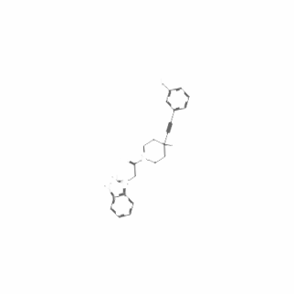 O=C(Cn1nnc2ccccc21)N1CCC(O)(C#Cc2cccc(Cl)c2)CC1